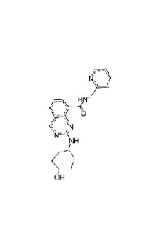 O=C(NCc1ccccn1)c1cccc2cnc(NC3CCC(O)CC3)nc12